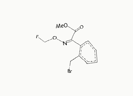 COC(=O)C(=NOCF)c1ccccc1CBr